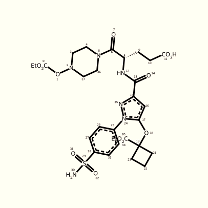 CCOC(=O)ON1CCN(C(=O)[C@H](CCC(=O)O)NC(=O)c2cc(OC3(C(=O)OCC)CCC3)n(-c3ccc(S(N)(=O)=O)cc3)n2)CC1